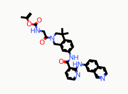 C=C(C)OC(=O)NCC(=O)N1Cc2cc(NC(=O)c3cccnc3Nc3ccc4ccncc4c3)ccc2C(C)(C)C1